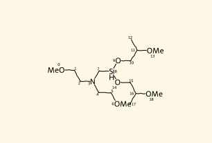 COCCN(CCOC)C[SiH](OCC(C)OC)OCC(C)OC